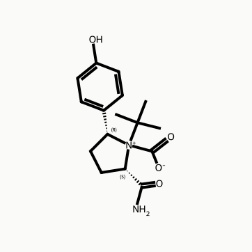 CC(C)(C)[N+]1(C(=O)[O-])[C@@H](c2ccc(O)cc2)CC[C@H]1C(N)=O